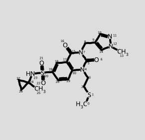 CSCCn1c(=O)n(Cc2cnn(C)c2)c(=O)c2cc(S(=O)(=O)NC3(C)CC3)ccc21